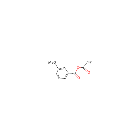 CCCC(=O)OC(=O)c1cccc(OC)c1